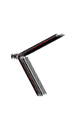 Cl.Cl.Cl.[Ca+2].[Ca+2].[Ca+2].[Ca+2].[Ca+2].[Ca+2].[Ca+2].[Ca+2].[Ca+2].[Ca+2].[Ca+2].[Ca+2].[Ca+2].[Ca+2].[Ca+2].[Ca+2].[Ca+2].[Ca+2].[Ca+2].[Ca+2].[Ca+2].[Ca+2].[Ca+2].[Ca+2].[Ca+2].[Ca+2].[Ca+2].[Ca+2].[Ca+2].[Ca+2].[Ca+2].[Ca+2].[Ca+2].[Ca+2].[Ca+2].[Ca+2].[Ca+2].[Ca+2].[Ca+2].[Ca+2].[Ca+2].[Ca+2].[Ca+2].[Ca+2].[Ca+2].[Ca+2].[Ca+2].[Ca+2].[Ca+2].[Ca+2].[Ca+2].[Ca+2].[Ca+2].[Ca+2].[Ca+2].[Ca+2].[Ca+2].[Ca+2].[Ca+2].[Ca+2].[Ca+2].[Ca+2].[Ca+2].[Ca+2].[Ca+2].[Ca+2].[Ca+2].[Ca+2].[Ca+2].[Ca+2]